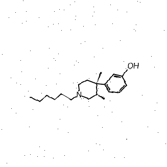 CCCCCCN1CC[C@](C)(c2cccc(O)c2)[C@@H](C)C1